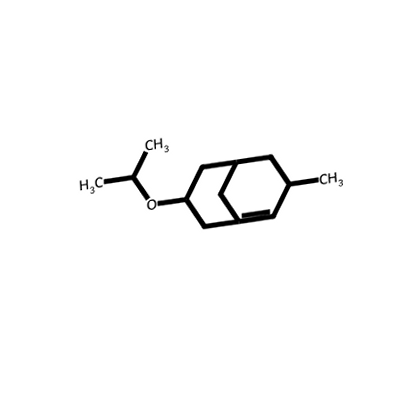 CC1C=C2CC(C1)CC(OC(C)C)C2